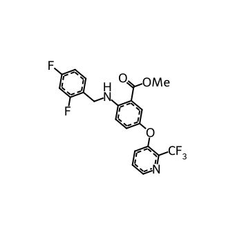 COC(=O)c1cc(Oc2cccnc2C(F)(F)F)ccc1NCc1ccc(F)cc1F